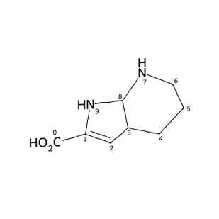 O=C(O)C1=CC2CCCNC2N1